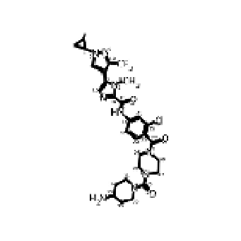 Cn1c(-c2cn(C3CC3)nc2C(F)(F)F)cnc1C(=O)Nc1ccc(C(=O)N2CCN(C(=O)N3CCC(N)CC3)CC2)c(Cl)c1